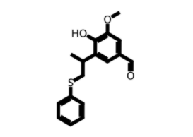 COc1cc(C=O)cc(C(C)CSc2ccccc2)c1O